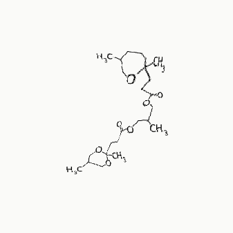 CC(COC(=O)CCC1(C)CCC(C)CO1)COC(=O)CCC1(C)OCC(C)CO1